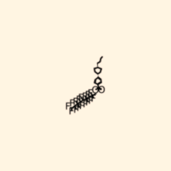 CCCC[C@H]1CC[C@H](c2ccc(C(=O)OCC(F)(F)C(F)(F)C(F)(F)C(F)(F)C(F)(F)C(F)(F)C(F)(F)C(F)F)cc2)CC1